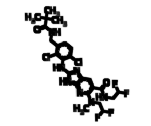 CN(CC(F)F)c1nc2[nH]c(Nc3c(Cl)ccc(CNC(=O)C(C)(C)C)c3Cl)nc2cc1C(=O)NCC(F)F